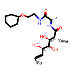 CO[C@@H](C(=O)N[C@@H](C)C(=O)NCCOC1CCCCC1)[C@H](O)[C@@H](O)[C@H](O)/C=C/C(C)(C)C